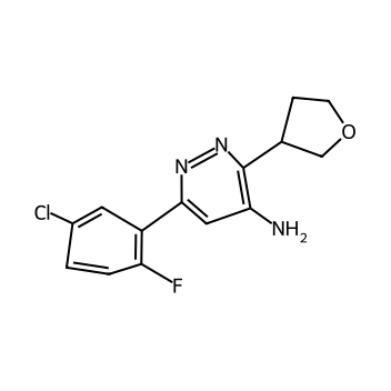 Nc1cc(-c2cc(Cl)ccc2F)nnc1C1CCOC1